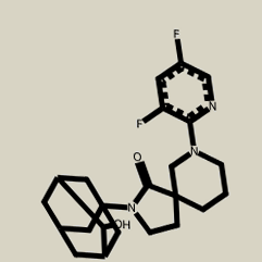 O=C1N(C23CC4CC(C2)C(O)C(C4)C3)CCC12CCCN(c1ncc(F)cc1F)C2